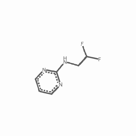 FC(F)CNc1ncccn1